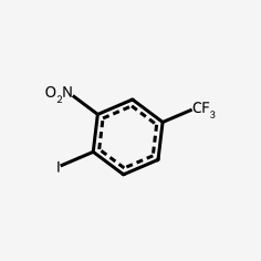 O=[N+]([O-])c1cc(C(F)(F)F)ccc1I